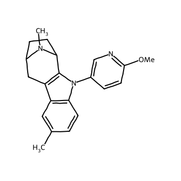 COc1ccc(-n2c3c(c4cc(C)ccc42)CC2CCC3N2C)cn1